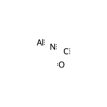 [Al].[C].[N].[O]